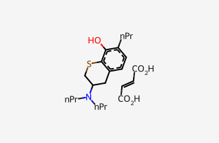 CCCc1ccc2c(c1O)SCC(N(CCC)CCC)C2.O=C(O)C=CC(=O)O